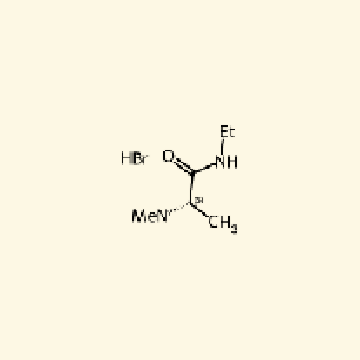 Br.CCNC(=O)[C@H](C)NC